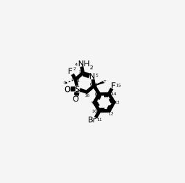 C[C@]1(F)C(N)=N[C@](C)(c2cc(Br)ccc2F)CS1(=O)=O